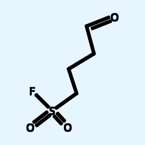 O=CCCCS(=O)(=O)F